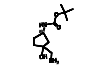 CC(C)(C)OC(=O)N[C@H]1CCC(O)(CN)C1